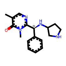 Cc1cnc([C@@H](NC2CCNC2)c2ccccc2)n(C)c1=O